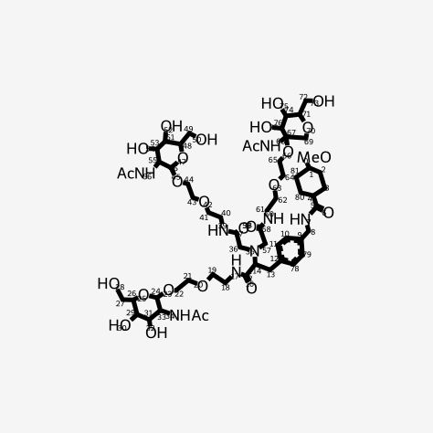 COC1CCC(C(=O)NCc2ccc(CC(C(=O)NCCOCCOC3OC(CO)C(O)C(O)C3NC(C)=O)N(CC(=O)NCCOCCOC3OC(CO)C(O)C(O)C3NC(C)=O)CC(=O)NCCOCCOC3(NC(C)=O)COC(CO)C(O)C3O)cc2)CC1